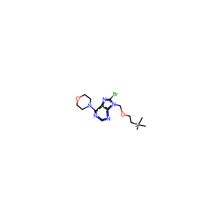 C[Si](C)(C)CCOCn1c(Br)nc2c(N3CCOCC3)ncnc21